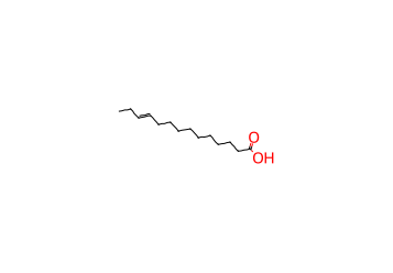 CCC=CCCCCCCCCCC(=O)O